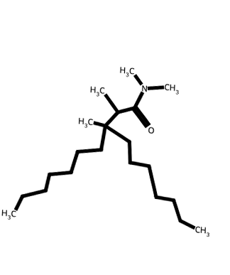 CCCCCCCC(C)(CCCCCCC)C(C)C(=O)N(C)C